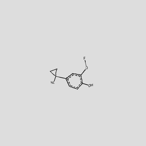 N#CC1(c2ccc(O)c(OF)c2)CC1